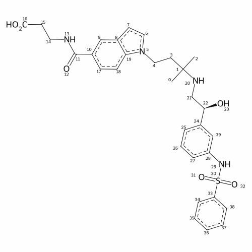 CC(C)(CCn1ccc2cc(C(=O)NCCC(=O)O)ccc21)NC[C@@H](O)c1cccc(NS(=O)(=O)c2ccccc2)c1